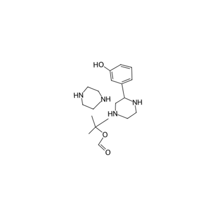 C1CNCCN1.CC(C)(C)OC=O.Oc1cccc(C2CNCCN2)c1